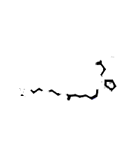 CCCCCCCC(=O)CC[C@@H]1[C@@H](C/C=C\CCCC(=O)OCCOCCON(O)O)[C@@H](O)C[C@H]1O